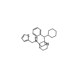 c1ccc(C(C2CCCCC2)C2C(NCc3cccs3)C3CCN2CC3)cc1